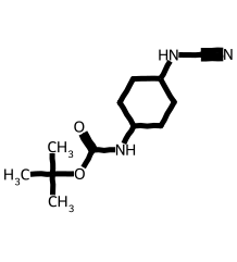 CC(C)(C)OC(=O)NC1CCC(NC#N)CC1